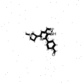 CN1CCC(c2cc3cn[nH]c3c(-c3ccc(C=O)cc3)n2)C1